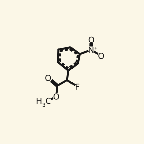 COC(=O)C(F)c1cccc([N+](=O)[O-])c1